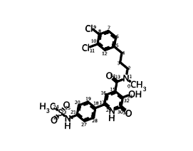 CN(CCCc1ccc(Cl)c(Cl)c1)C(=O)c1cc(-c2ccc(NS(C)(=O)=O)cc2)[nH]c(=O)c1O